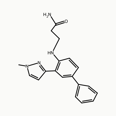 Cn1ccc(-c2cc(-c3ccccc3)ccc2NCCC(N)=O)n1